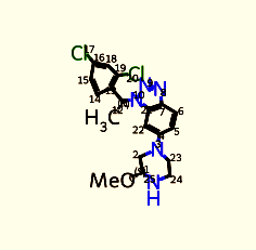 CO[C@H]1CN(c2ccc3nnn([C@H](C)c4ccc(Cl)cc4Cl)c3c2)CCN1